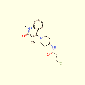 Cn1c(=O)c(C#N)c(N2CCC(NC(=O)C=CCl)CC2)c2ccccc21